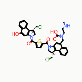 CNCCN(Cc1cc2c(c3ccccc13)[C@H](CCl)CN2C(=O)c1ccc(C(=O)N2C[C@@H](CCl)c3c2cc(O)c2ccccc32)s1)C(=O)O